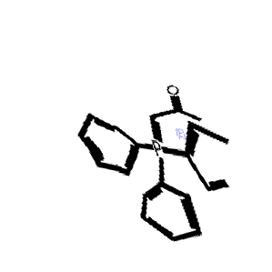 C=C/C(=C\C)P(=CC(C)=O)(c1ccccc1)c1ccccc1